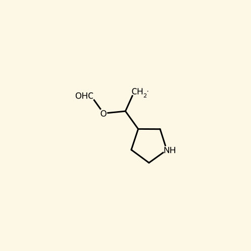 [CH2]C(OC=O)C1CCNC1